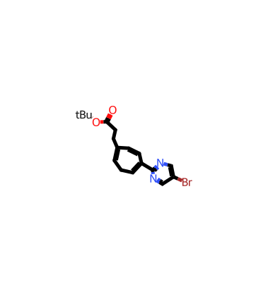 CC(C)(C)OC(=O)CCC1=CCC=C(c2ncc(Br)cn2)C=C1